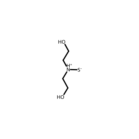 OCC[NH+]([S-])CCO